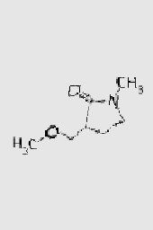 COCC1CCN(C)C1=O